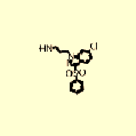 [NH]CCCn1nc(S(=O)(=O)c2ccccc2)c2ccc(Cl)cc21